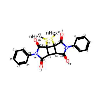 CCCCCCSC12C(=O)N(c3ccccc3)C(=O)C1C1C(=O)N(c3ccccc3)C(=O)C12SCCCCCC